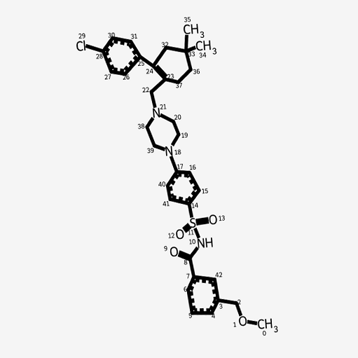 COCc1cccc(C(=O)NS(=O)(=O)c2ccc(N3CCN(CC4=C(c5ccc(Cl)cc5)CC(C)(C)CC4)CC3)cc2)c1